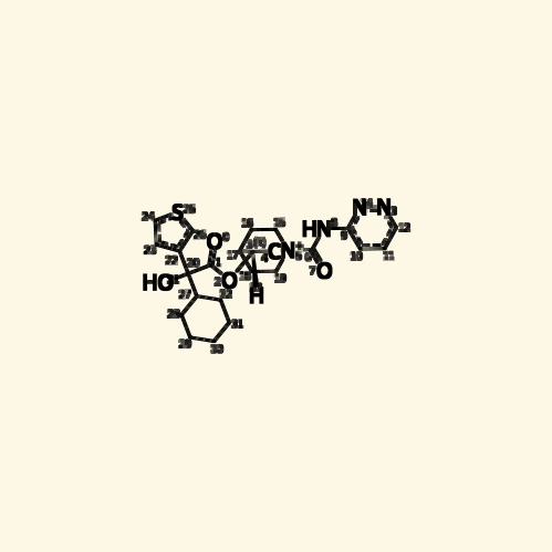 O=C(O[C@H]1C[N+]2(C(=O)Nc3cccnn3)CCC1CC2)C(O)(c1ccsc1)C1CCCCC1